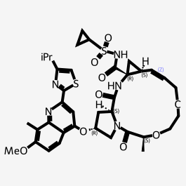 COc1ccc2c(O[C@@H]3C[C@H]4C(=O)N[C@]5(C(=O)NS(=O)(=O)C6CC6)C[C@H]5/C=C\CCCCO[C@@H](C)C(=O)N4C3)cc(-c3nc(C(C)C)cs3)nc2c1C